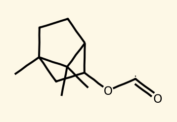 CC12CCC(C(O[C]=O)C1)C2(C)C